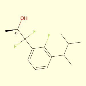 CC(C)C(C)c1cccc(C(F)(F)[C@@H](C)O)c1F